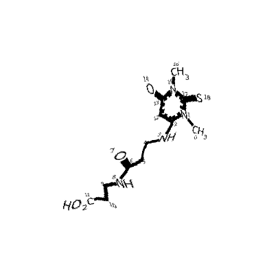 Cn1c(NCCC(=O)NCCC(=O)O)cc(=O)n(C)c1=S